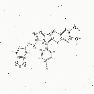 COc1cc(Br)c(Cc2sc3nnc(SCc4ccc5c(c4)OCO5)n3c2-c2ccc(F)cc2)cc1OC